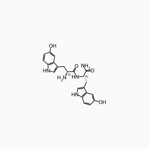 NC(=O)[C@H](Cc1c[nH]c2ccc(O)cc12)NC(=O)[C@@H](N)Cc1c[nH]c2ccc(O)cc12